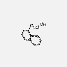 Cl.Cl.Clc1cccc2ccccc12